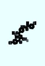 Cc1cc(C(C)c2ccc(NC(=O)Nc3cccc(Cl)c3)cc2)[nH]c1C(=O)c1ccc(Cl)cc1